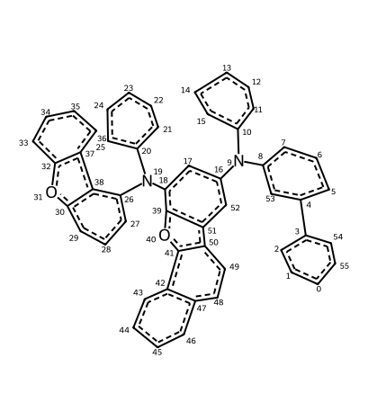 c1ccc(-c2cccc(N(c3ccccc3)c3cc(N(c4ccccc4)c4cccc5oc6ccccc6c45)c4oc5c6ccccc6ccc5c4c3)c2)cc1